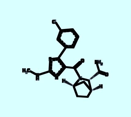 CNc1nc(C(=O)N2[C@@H]3CC[C@@H](C3)[C@H]2C(N)=O)c(-c2cccc(Cl)c2)s1